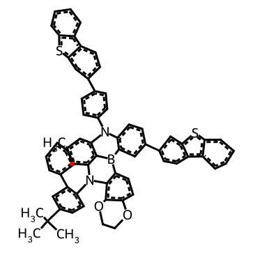 Cc1cc2c3c(c1)N(c1ccc(C(C)(C)C)cc1-c1ccccc1)c1c(ccc4c1OCCO4)B3c1cc(-c3ccc4c(c3)sc3ccccc34)ccc1N2c1ccc(-c2ccc3c(c2)sc2ccccc23)cc1